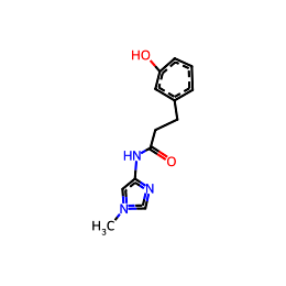 Cn1cnc(NC(=O)CCc2cccc(O)c2)c1